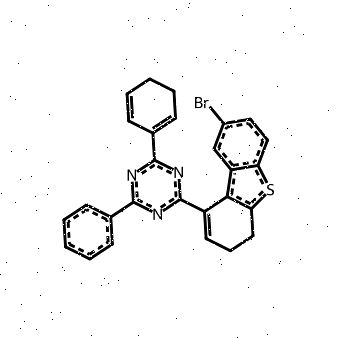 Brc1ccc2sc3c(c2c1)C(c1nc(C2=CCCC=C2)nc(-c2ccccc2)n1)=CCC3